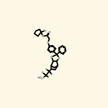 CCC1(OC(=O)COc2ccc(C3(c4ccccc4)OC4C5CC(C4O3)C(C(F)(F)C(F)(F)S(=O)(=O)O)C5)cc2)CCCC1